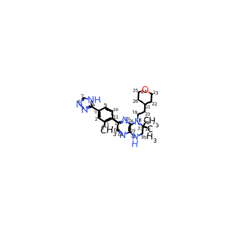 Cc1cc(-c2nnc[nH]2)ccc1-c1cnc2c(n1)N(CCC1CCOCC1)C(C)(C)CN2